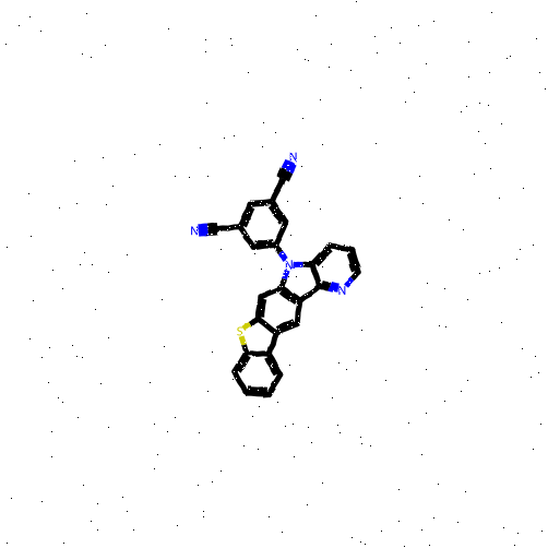 N#Cc1cc(C#N)cc(-n2c3cc4sc5ccccc5c4cc3c3ncccc32)c1